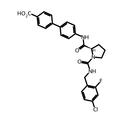 O=C(O)c1ccc(-c2ccc(NC(=O)[C@H]3CCCN3C(=O)NCc3ccc(Cl)cc3F)cc2)cc1